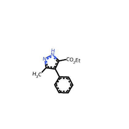 CCOC(=O)c1[nH]nc(C)c1-c1ccccc1